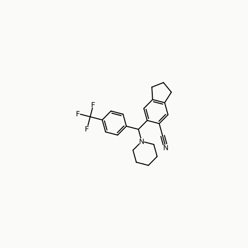 N#Cc1cc2c(cc1C(c1ccc(C(F)(F)F)cc1)N1CCCCC1)CCC2